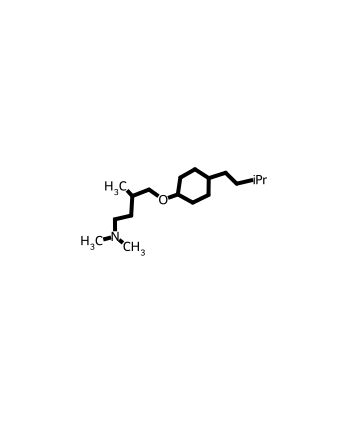 CC(C)CCC1CCC(OCC(C)CCN(C)C)CC1